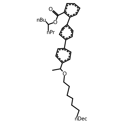 CCCCCCCCCCCCCCCCOC(C)c1ccc(-c2ccc(-c3ccccc3C(=O)OC(CCC)CCCC)cc2)cc1